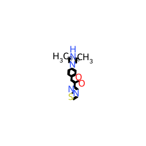 C[C@@H]1CN(c2ccc3cc(-c4cn5ccsc5n4)c(=O)oc3c2)C[C@H](C)N1